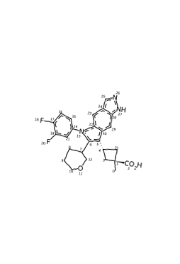 C[C@]1(C(=O)O)C[C@H](c2c(C3CCCOC3)n(-c3ccc(F)c(F)c3)c3cc4cn[nH]c4cc32)C1